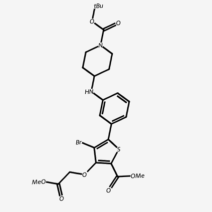 COC(=O)COc1c(C(=O)OC)sc(-c2cccc(NC3CCN(C(=O)OC(C)(C)C)CC3)c2)c1Br